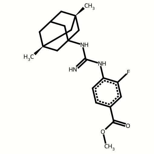 COC(=O)c1ccc(NC(=N)NC23CC4C[C@@](C)(C2)C[C@](C)(C4)C3)c(F)c1